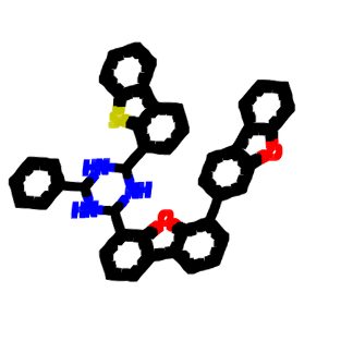 c1ccc(C2NC(c3cccc4c3oc3c(-c5ccc6c(c5)oc5ccccc56)cccc34)NC(c3cccc4c3sc3ccccc34)N2)cc1